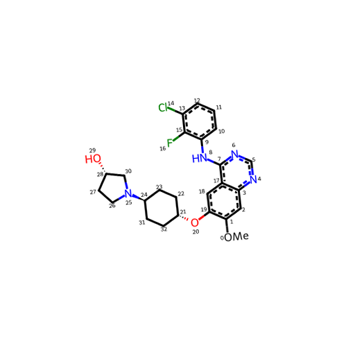 COc1cc2ncnc(Nc3cccc(Cl)c3F)c2cc1O[C@H]1CC[C@H](N2CC[C@H](O)C2)CC1